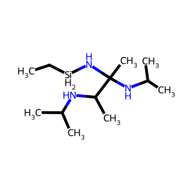 CC[SiH2]NC(C)(NC(C)C)C(C)NC(C)C